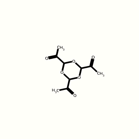 CC(=O)C1OC(C(C)=O)OC(C(C)=O)O1